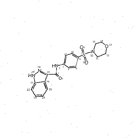 O=C(Nc1ccc(S(=O)(=O)N2CCOCC2)cc1)c1n[nH]c2ccccc12